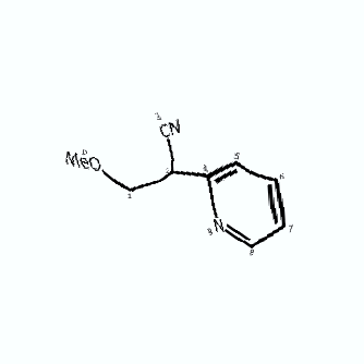 COCC(C#N)c1ccccn1